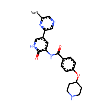 CNc1cncc(-c2c[nH]c(=O)c(NC(=O)c3ccc(OC4CCNCC4)cc3)c2)n1